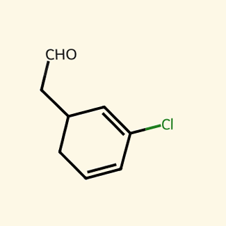 O=CCC1C=C(Cl)C=CC1